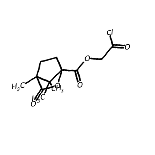 CC12CCC(C(=O)OCC(=O)Cl)(OC1=O)C2(C)C